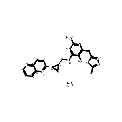 Cc1nnc(Cc2nc(N)nc(OC[C@H]3C[C@@H]3c3ccc4ncccc4n3)c2F)s1.N